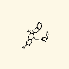 CC(=O)N1Cc2cc(Br)ccc2N(Cc2c[nH]cn2)CC12Cc1ccccc1C2